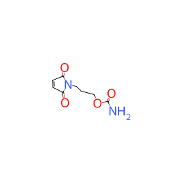 NC(=O)OCCCN1C(=O)C=CC1=O